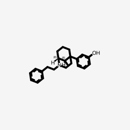 C[C@H]1[C@H]2CCCC1(c1cccc(O)c1)CCN2CCc1ccccc1